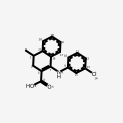 CC1CC(C(=O)O)=C(Nc2cccc(Cl)c2)c2ccccc21